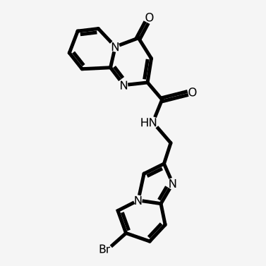 O=C(NCc1cn2cc(Br)ccc2n1)c1cc(=O)n2ccccc2n1